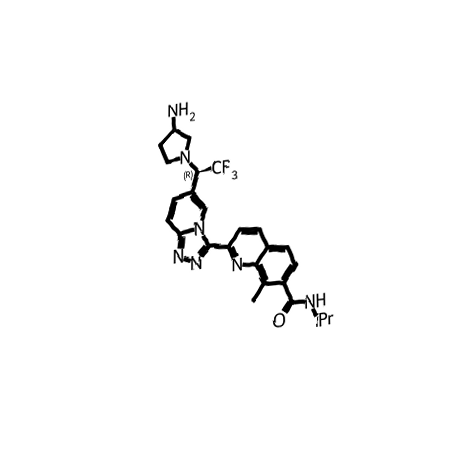 Cc1c(C(=O)NC(C)C)ccc2ccc(-c3nnc4ccc([C@@H](N5CCC(N)C5)C(F)(F)F)cn34)nc12